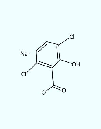 O=C([O-])c1c(Cl)ccc(Cl)c1O.[Na+]